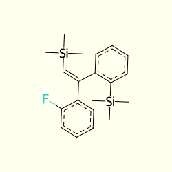 C[Si](C)(C)C=C(c1ccccc1F)c1ccccc1[Si](C)(C)C